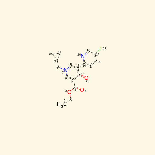 CCOC(=O)c1cn(CC2CC2)cc(-c2ccc(F)cn2)c1=O